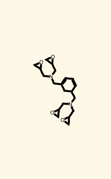 C1=CC(CN(CC2CO2)CC2CO2)CC(CN(CC2CO2)CC2CO2)=C1